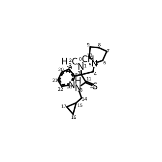 CN(C)C(CN1CCCCC1)(C(=S)NCC1CC1)c1ccccn1